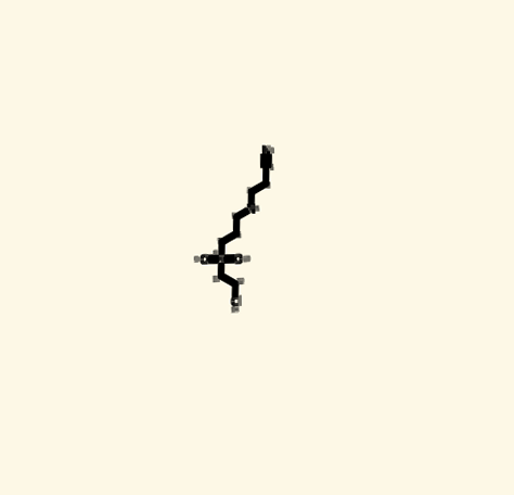 N#CCC[N]CCCS(=O)(=O)CCCl